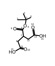 CC(C)(C)OC(=O)C(CC(=O)O)CC(=O)O